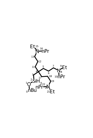 CCCCO[SiH2]CC(CCCN(CC)CCC)(CCCN(CC)CCC)CCCN(CC)CCC